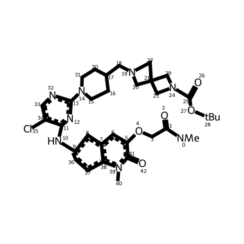 CNC(=O)COc1cc2cc(Nc3nc(N4CCC(CN5CC6(C5)CN(C(=O)OC(C)(C)C)C6)CC4)ncc3Cl)ccc2n(C)c1=O